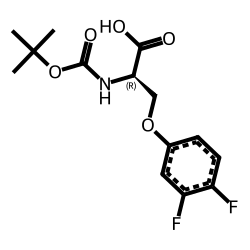 CC(C)(C)OC(=O)N[C@H](COc1ccc(F)c(F)c1)C(=O)O